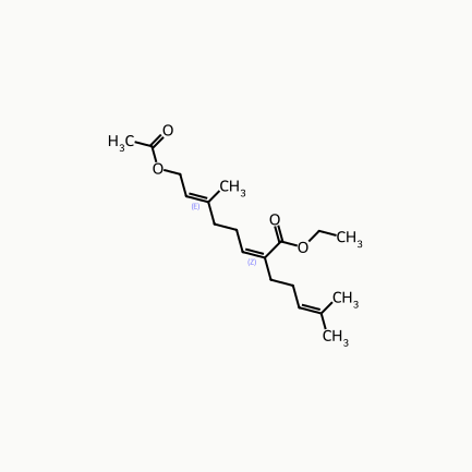 CCOC(=O)/C(=C\CC/C(C)=C/COC(C)=O)CCC=C(C)C